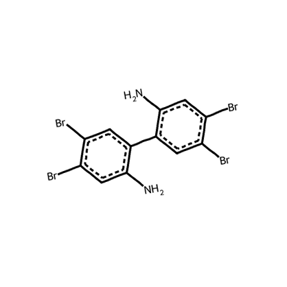 Nc1cc(Br)c(Br)cc1-c1cc(Br)c(Br)cc1N